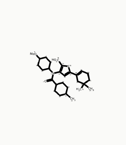 COC1CCC(N(C(=O)C2CCC(C)CC2)c2cc(C3=CCCC(C)(C)C3)sc2C(=O)O)CC1